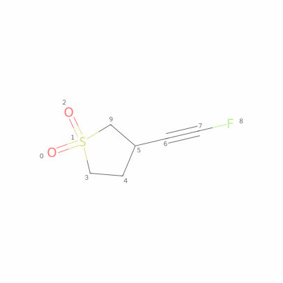 O=S1(=O)CCC(C#CF)C1